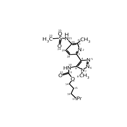 Cc1nc(-c2nnn(C)c2NC(=O)OCCCC(C)C)ccc1NS(C)(=O)=O